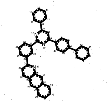 c1ccc(-c2ccc(-c3cc(-c4ccccc4)nc(-c4cccc(-c5ccc6cc7ccccc7cc6n5)c4)n3)cc2)cc1